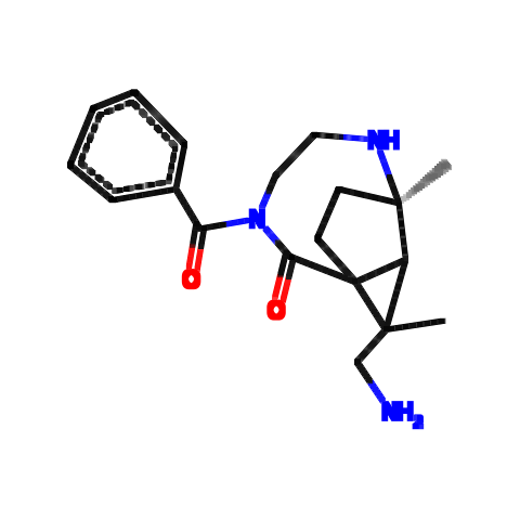 CC1(CN)C2C13CC[C@@]2(C)NCCN(C(=O)c1ccccc1)C3=O